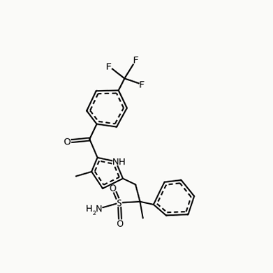 Cc1cc(CC(C)(c2ccccc2)S(N)(=O)=O)[nH]c1C(=O)c1ccc(C(F)(F)F)cc1